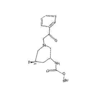 CC(C)(C)OC(=O)NC1C[C@@H](F)CN(CC(=O)c2ccccc2)C1